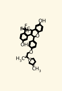 CC1=C(c2cc(O)ccc2C(F)(F)F)C(c2ccc(OC[C@H](C)N3CC[C@@H](C)C3)cc2)Oc2ccc(O)cc21